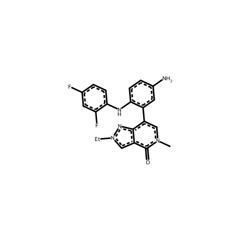 CCn1cc2c(=O)n(C)cc(-c3cc(N)ccc3Nc3ccc(F)cc3F)c2n1